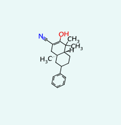 CC1(C)C(O)=C(C#N)C[C@]2(C)CC(c3ccccc3)CC[C@@H]12